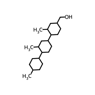 CC1CCC(C2CCC(C3CCC(CO)CC3C)CC2C)CC1